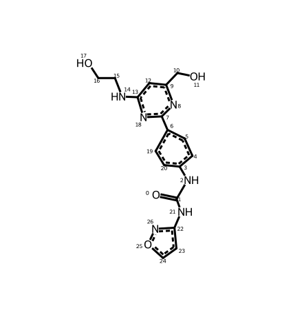 O=C(Nc1ccc(-c2nc(CO)cc(NCCO)n2)cc1)Nc1ccon1